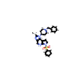 N#Cc1nc2cnc3c(ccn3S(=O)(=O)c3ccccc3)c2n1C1CCN(Cc2ccccc2)CC1